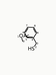 COC(C)=O.SCc1ccccc1